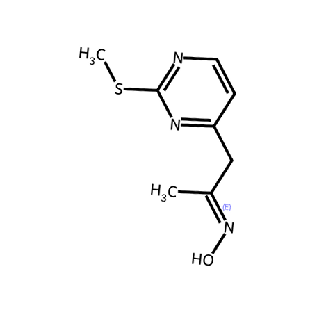 CSc1nccc(C/C(C)=N/O)n1